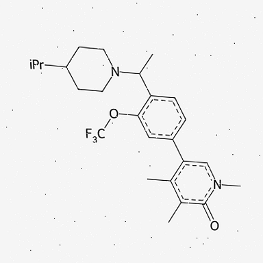 Cc1c(-c2ccc(C(C)N3CCC(C(C)C)CC3)c(OC(F)(F)F)c2)cn(C)c(=O)c1C